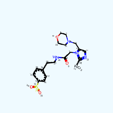 O=C(Cn1c(CN2CCOCC2)cnc1[N+](=O)[O-])NCCc1ccc([SH](=O)=O)cc1